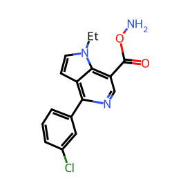 CCn1ccc2c(-c3cccc(Cl)c3)ncc(C(=O)ON)c21